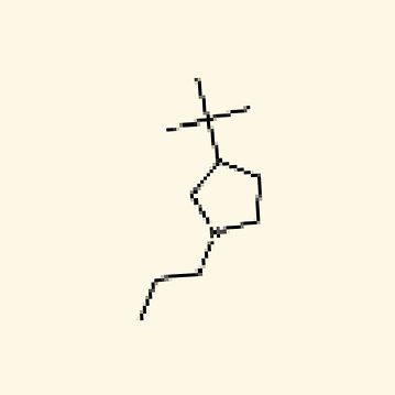 CCCN1CCC(C(C)(C)C)C1